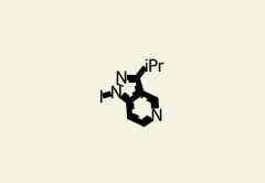 CC(C)c1nn(I)c2ccncc12